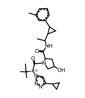 Cc1cccc(C2CC2C(C)NC(=O)C2CC(O)CN2C(=O)[C@@H](n2cc(C3CC3)nn2)C(C)(C)C)c1